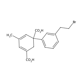 CC1=CC(C(=O)O)(c2cccc(CCBr)c2)CC(C(=O)O)=C1